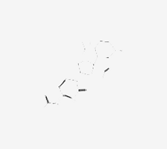 CC(=O)Nc1ccn([C@@H]2CS[C@@](C(=O)O)([C@@H]3C[C@H](C)CC[C@H]3C(C)C)O2)c(=O)n1